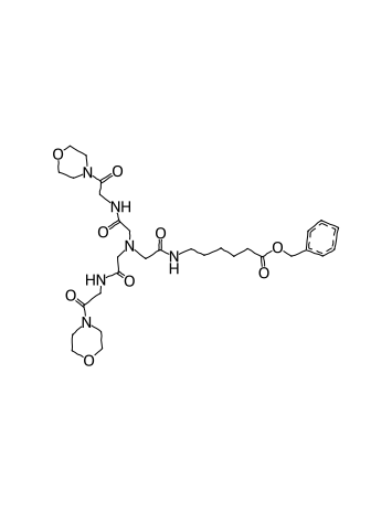 O=C(CN(CC(=O)NCC(=O)N1CCOCC1)CC(=O)NCC(=O)N1CCOCC1)NCCCCCC(=O)OCc1ccccc1